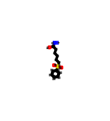 [NH]C(=O)CCCCCS(=O)(=O)c1ccccc1